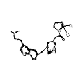 CN(C)CCc1coc2ccc(-c3cncc(CC(=O)N4CCCC4(Cl)Cl)c3)cc12